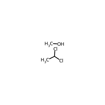 CC(Cl)Cl.CO